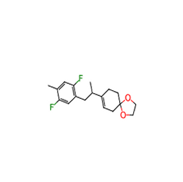 Cc1cc(F)c(CC(C)C2=CCC3(CC2)OCCO3)cc1F